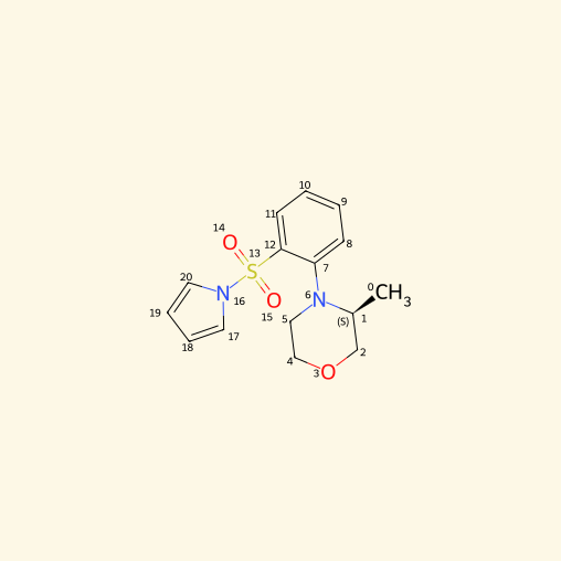 C[C@H]1COCCN1c1ccccc1S(=O)(=O)n1cccc1